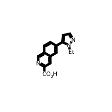 CCn1nccc1-c1ccc2cnc(C(=O)O)cc2c1